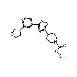 COC(=O)N1CCC(c2nc(-c3ccnc(C4CCOC4)c3)no2)CC1